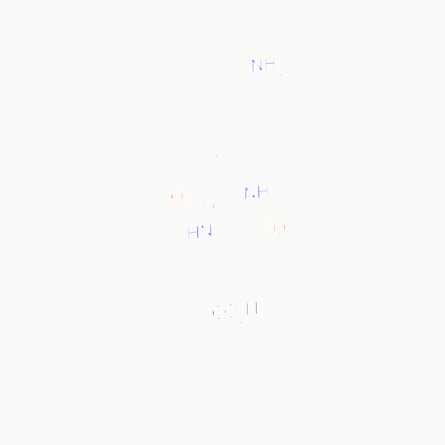 NCCCCC1NC(=O)C(CCC(=O)O)NC1=O